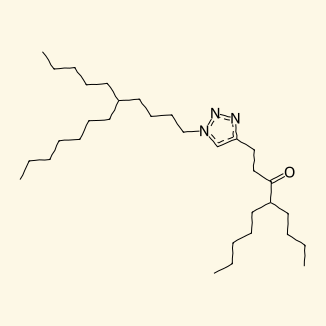 CCCCCCCC(CCCCC)CCCCn1cc(CCC(=O)C(CCCC)CCCCC)nn1